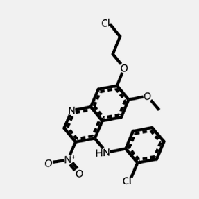 COc1cc2c(Nc3ccccc3Cl)c([N+](=O)[O-])cnc2cc1OCCCl